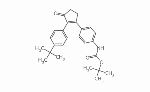 CC(C)(C)OC(=O)Nc1ccc(C2=C(c3ccc(C(C)(C)C)cc3)C(=O)CC2)cc1